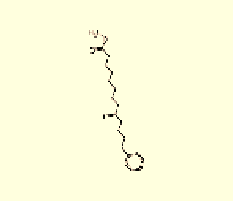 COC(=O)CCCCCCCC(=O)CCCCc1ccccc1